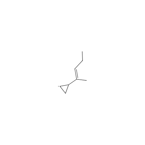 CCC=C(C)C1[CH]C1